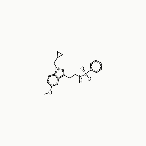 COc1ccc2c(c1)c(CCNS(=O)(=O)c1ccccc1)cn2CC1CC1